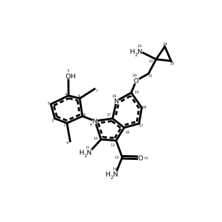 Cc1ccc(O)c(C)c1-n1c(N)c(C(N)=O)c2ccc(OCC3(N)CC3)nc21